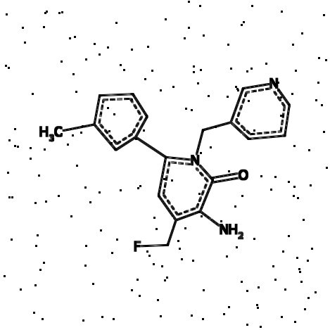 Cc1cccc(-c2cc(CF)c(N)c(=O)n2Cc2cccnc2)c1